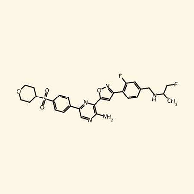 CC(CF)NCc1ccc(-c2cc(-c3nc(-c4ccc(S(=O)(=O)C5CCOCC5)cc4)cnc3N)on2)c(F)c1